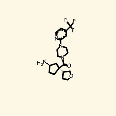 N[C@@H]1CC[C@@](C(=O)N2CCN(c3cc(C(F)(F)F)ccn3)CC2)(C2CCOC2)C1